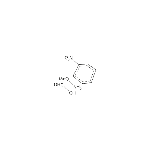 CON.O=CO.O=[N+]([O-])c1ccccc1